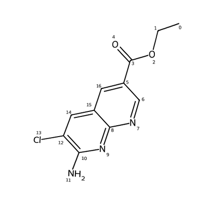 CCOC(=O)c1cnc2nc(N)c(Cl)cc2c1